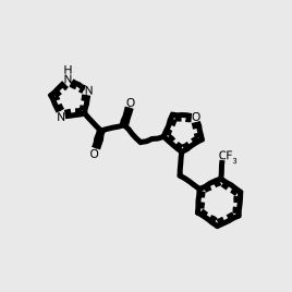 O=C(Cc1cocc1Cc1ccccc1C(F)(F)F)C(=O)c1nc[nH]n1